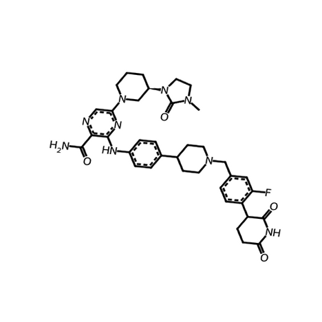 CN1CCN([C@@H]2CCCN(c3cnc(C(N)=O)c(Nc4ccc(C5CCN(Cc6ccc(C7CCC(=O)NC7=O)c(F)c6)CC5)cc4)n3)C2)C1=O